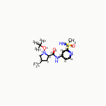 [2H]C([2H])([2H])ON1CC(C(F)(F)F)CC1C(=O)Nc1ccnc([S@](C)(=N)=O)c1